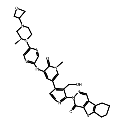 C[C@H]1CN(C2COC2)CCN1c1cnc(Nc2cc(-c3ccnc(-n4ncc5c6c(sc5c4=O)CCCC6)c3CO)cn(C)c2=O)cn1